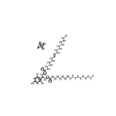 CCCCCCCCCCCCCCCCCC(=O)OCC(COC(=O)CCCCCCCCCCCCCCCCC)[n+]1c(C)cc(C)cc1C.F[B-](F)(F)F